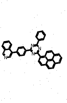 c1ccc(-c2nc(-c3ccc(-c4cncc5ccccc45)cc3)nc(-c3ccc4ccc5cccc6ccc3c4c56)n2)cc1